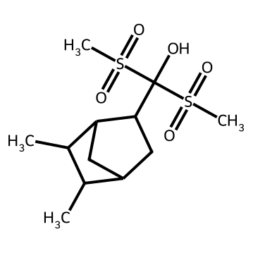 CC1C2CC(C1C)C(C(O)(S(C)(=O)=O)S(C)(=O)=O)C2